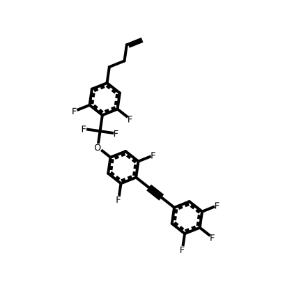 C=CCCc1cc(F)c(C(F)(F)Oc2cc(F)c(C#Cc3cc(F)c(F)c(F)c3)c(F)c2)c(F)c1